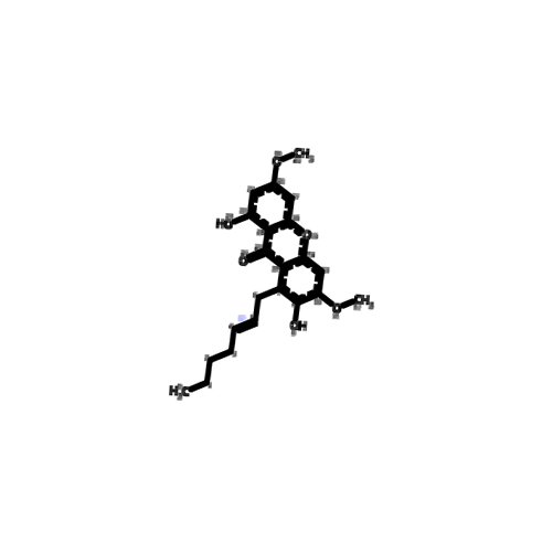 CCCC/C=C/Cc1c(O)c(OC)cc2oc3cc(OC)cc(O)c3c(=O)c12